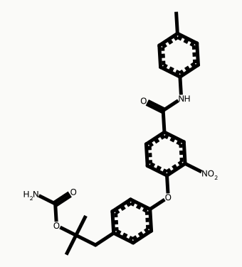 Cc1ccc(NC(=O)c2ccc(Oc3ccc(CC(C)(C)OC(N)=O)cc3)c([N+](=O)[O-])c2)cc1